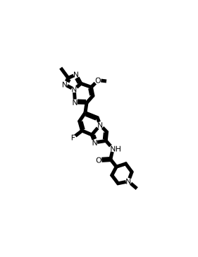 COc1cc(-c2cc(F)c3nc(NC(=O)C4CCN(C)CC4)cn3c2)nn2nc(C)nc12